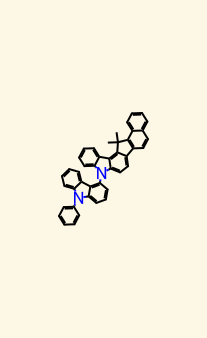 CC1(C)c2c(ccc3ccccc23)-c2ccc3c(c21)c1ccccc1n3-c1cccc2c1c1ccccc1n2-c1ccccc1